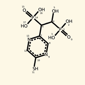 O=P(O)(O)C(O)C(c1cnc(S)cn1)P(=O)(O)O